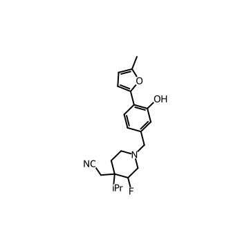 Cc1ccc(-c2ccc(CN3CCC(CC#N)(C(C)C)C(F)C3)cc2O)o1